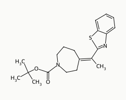 C/C(=C1/CCCN(C(=O)OC(C)(C)C)CC1)c1nc2ccccc2s1